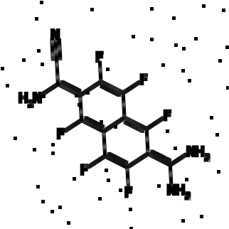 N#C/C(N)=c1\c(F)c(F)c2c(F)c(=C(N)N)c(F)c(F)c2c1F